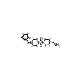 NCC1CCN(S(=O)(=O)N2CCN(Cc3ccccc3)CC2)CC1